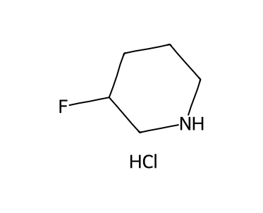 Cl.FC1CCCNC1